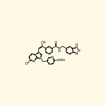 COc1ccc(Cn2cc(C=C(C#N)c3cccc(C(=O)NCc4ccc5nn[nH]c5c4)c3)c3ccc(Cl)nc32)cn1